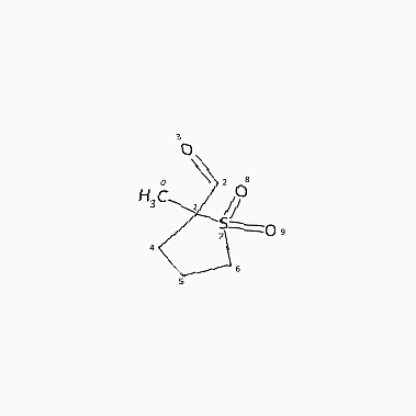 CC1(C=O)CCCS1(=O)=O